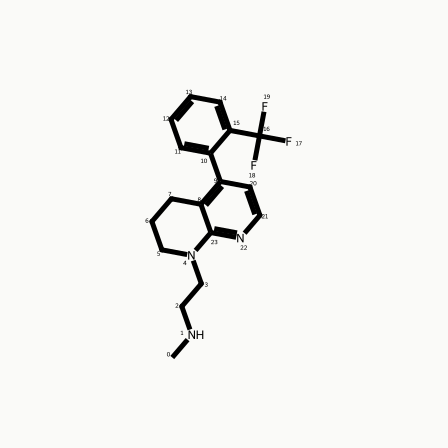 CNCCN1CCCc2c(-c3ccccc3C(F)(F)F)ccnc21